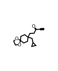 C#CC(=O)CCC1(CC2CC2)CCC2(CC1)OCCO2